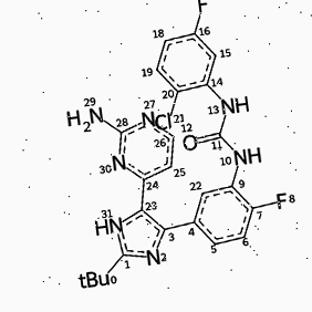 CC(C)(C)c1nc(-c2ccc(F)c(NC(=O)Nc3cc(F)ccc3Cl)c2)c(-c2ccnc(N)n2)[nH]1